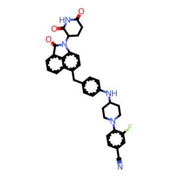 N#Cc1ccc(N2CCC(Nc3ccc(Cc4ccc5c6c(cccc46)C(=O)N5C4CCC(=O)NC4=O)cc3)CC2)c(F)c1